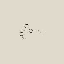 O=C(CN1CCOCC1)NCc1ccc(NC(=C2C(=O)Nc3ccc([N+](=O)[O-])cc32)c2ccccc2)cc1